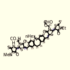 CCCCCCN1c2ccc(/C=c3/s/c(=C4/NC(=S)C(NC)C4=O)n(CC(=O)O)c3=O)cc2CCc2cc(/C=c3/s/c(=C4/SC(=S)N(CC)C4=O)n(COC=O)c3=O)ccc21